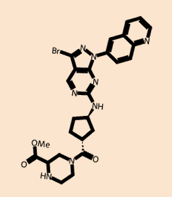 COC(=O)C1CN(C(=O)[C@@H]2CC[C@@H](Nc3ncc4c(Br)nn(-c5ccc6ncccc6c5)c4n3)C2)CCN1